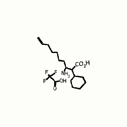 C=CCCCCCC(N)C(C(=O)O)C1CCCCC1.O=C(O)C(F)(F)F